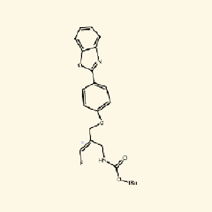 CC(C)(C)OC(=O)NC/C(=C\F)COc1ccc(-c2nc3ccccc3o2)cc1